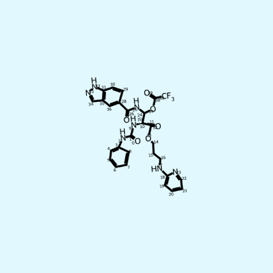 O=C(Nc1ccccc1)N[C@H](C(=O)OCCCNc1ccccn1)C(NC(=O)c1ccc2[nH]ncc2c1)OC(=O)C(F)(F)F